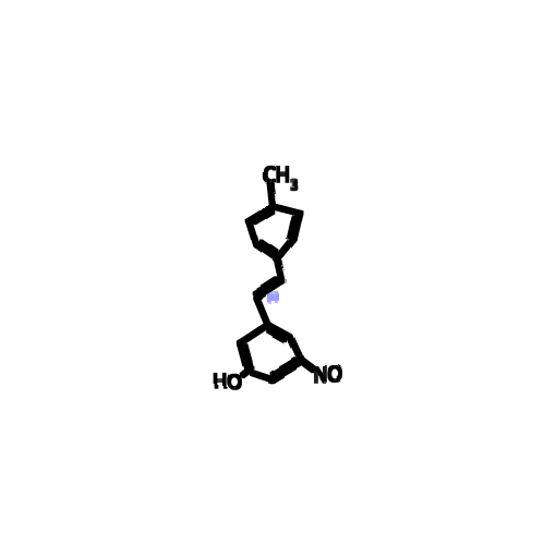 Cc1ccc(/C=C/c2cc(O)cc(N=O)c2)cc1